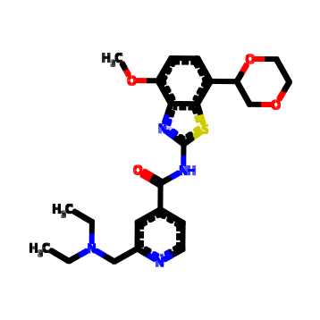 CCN(CC)Cc1cc(C(=O)Nc2nc3c(OC)ccc(C4COCCO4)c3s2)ccn1